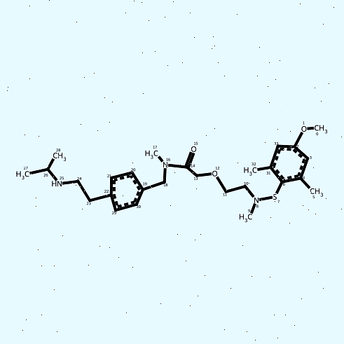 COc1cc(C)c(SN(C)CCOCC(=O)N(C)Cc2ccc(CCNC(C)C)cc2)c(C)c1